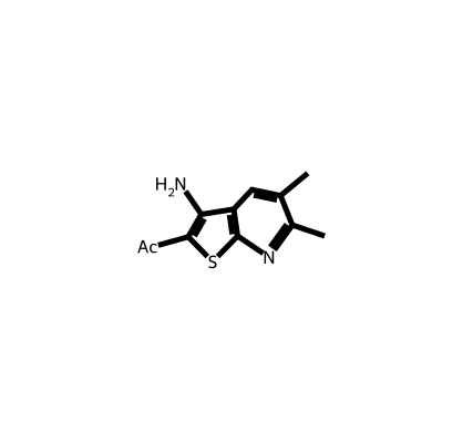 CC(=O)c1sc2nc(C)c(C)cc2c1N